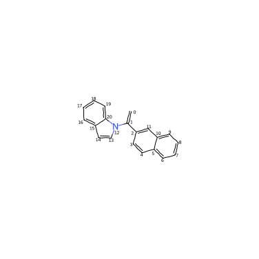 C=C(c1ccc2ccccc2c1)n1ccc2ccccc21